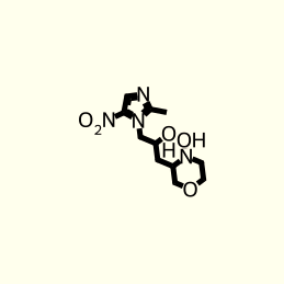 Cc1ncc([N+](=O)[O-])n1CC(O)CC1COCCN1O